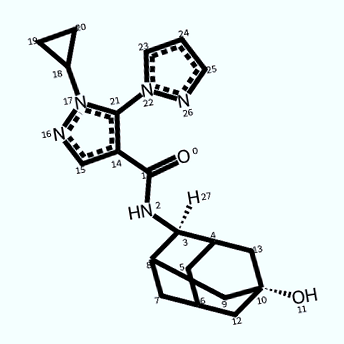 O=C(N[C@H]1C2CC3CC1C[C@](O)(C3)C2)c1cnn(C2CC2)c1-n1cccn1